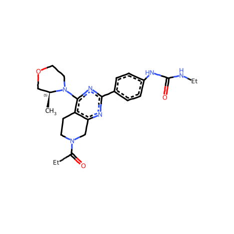 CCNC(=O)Nc1ccc(-c2nc3c(c(N4CCOC[C@@H]4C)n2)CCN(C(=O)CC)C3)cc1